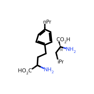 CC(C)C[C@H](N)C(=O)O.CCCc1ccc(CCC(N)C(=O)O)cc1